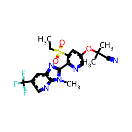 CCS(=O)(=O)c1cc(OC(C)(C)C#N)cnc1-c1nc2cc(C(F)(F)F)cnc2n1C